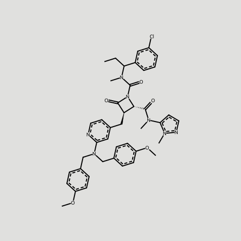 CCC(c1cccc(Cl)c1)N(C)C(=O)N1C(=O)[C@H](Cc2ccnc(N(Cc3ccc(OC)cc3)Cc3ccc(OC)cc3)c2)[C@H]1C(=O)N(C)c1ccnn1C